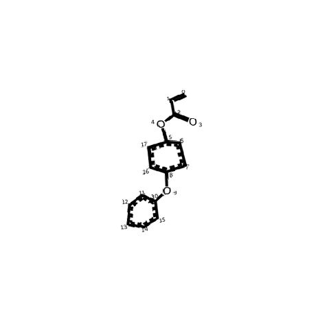 C=CC(=O)Oc1ccc(Oc2ccccc2)cc1